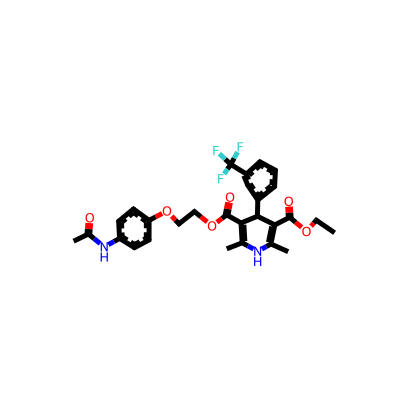 CCOC(=O)C1=C(C)NC(C)=C(C(=O)OCCOc2ccc(NC(C)=O)cc2)C1c1cccc(C(F)(F)F)c1